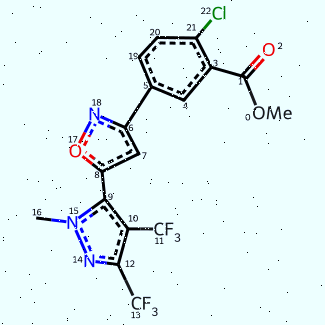 COC(=O)c1cc(-c2cc(-c3c(C(F)(F)F)c(C(F)(F)F)nn3C)on2)ccc1Cl